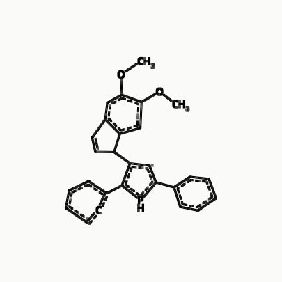 COc1cc2c(cc1OC)C(c1[c]c(-c3ccccc3)[pH]c1-c1ccccc1)C=C2